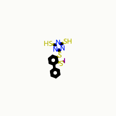 Sc1nc(S)nc(Sc2cccc(-c3ccccc3)c2SI)n1